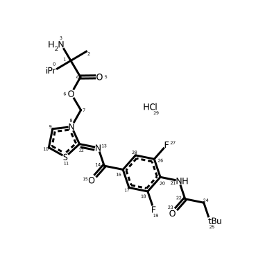 CC(C)C(C)(N)C(=O)OCn1ccs/c1=N\C(=O)c1cc(F)c(NC(=O)CC(C)(C)C)c(F)c1.Cl